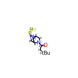 CC(C)(C)CC(=O)N1CC2CC1CN2SS